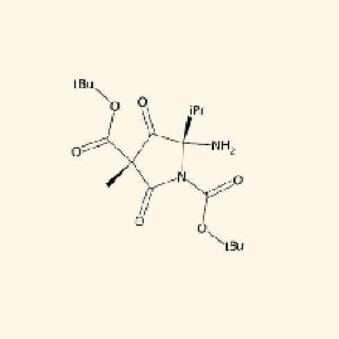 CC(C)[C@]1(N)C(=O)[C@@](C)(C(=O)OC(C)(C)C)C(=O)N1C(=O)OC(C)(C)C